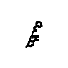 COc1ccc(C)cc1C[C@H](O)COCc1ccccc1